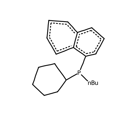 CCCCP(c1cccc2ccccc12)C1CCCCC1